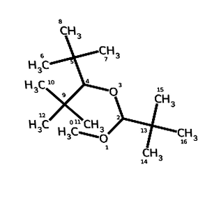 COC(OC(C(C)(C)C)C(C)(C)C)C(C)(C)C